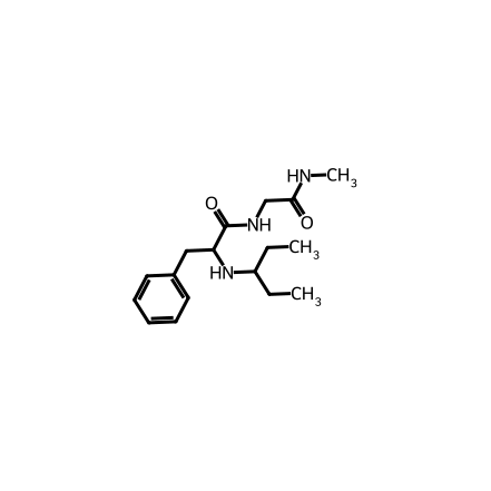 CCC(CC)NC(Cc1ccccc1)C(=O)NCC(=O)NC